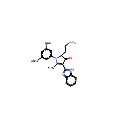 CNC1=C(c2nc3ccccc3[nH]2)C(=O)[C@](C)(CCNC(C)=O)N1c1cc(OC)cc(OC)c1